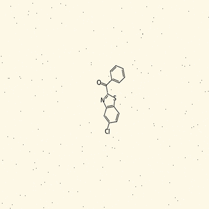 O=C(c1ccccc1)c1nc2cc(Cl)ccc2s1